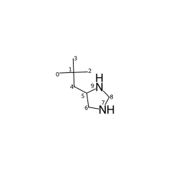 CC(C)(C)CC1CNCN1